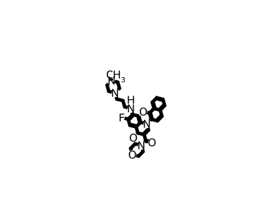 CN1CCN(CCCNc2c(F)cc3c(=O)c(C(=O)N4CCOCC4)cn4c3c2Oc2c-4ccc3ccccc23)CC1